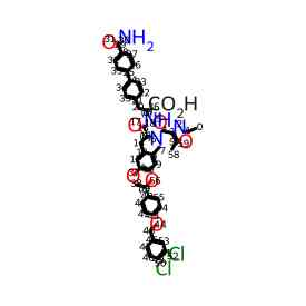 Cc1nc(C(=O)N2Cc3cc4c(cc3C[C@H]2C(=O)N[C@@H](Cc2ccc(-c3ccc(C(N)=O)cc3)cc2)C(=O)O)OC[C@H](c2ccc(OCc3ccc(Cl)c(Cl)c3)cc2)O4)c(C)o1